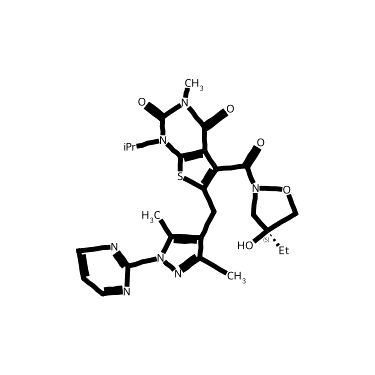 CC[C@@]1(O)CON(C(=O)c2c(Cc3c(C)nn(-c4ncccn4)c3C)sc3c2c(=O)n(C)c(=O)n3C(C)C)C1